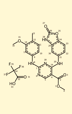 COC(=O)c1cnc(Nc2ccc(C)c(OC)c2)nc1Nc1ccc2oc(=O)[nH]c2c1.O=C(O)C(F)(F)F